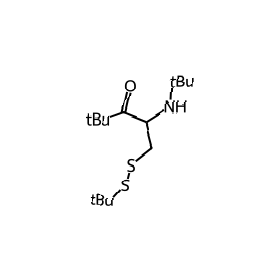 CC(C)(C)NC(CSSC(C)(C)C)C(=O)C(C)(C)C